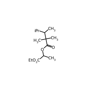 CCOC(=O)C(C)OC(=O)C(C)(C)C(C)C(C)C